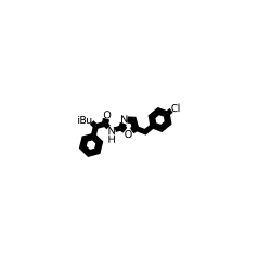 CCC(C)C(C(=O)Nc1ncc(Cc2ccc(Cl)cc2)o1)c1ccccc1